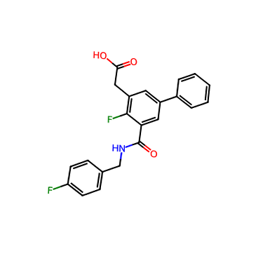 O=C(O)Cc1cc(-c2ccccc2)cc(C(=O)NCc2ccc(F)cc2)c1F